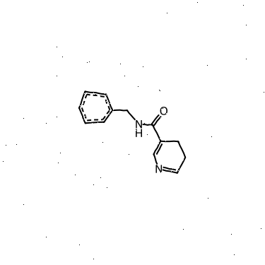 O=C(NCc1ccccc1)C1=CN=CCC1